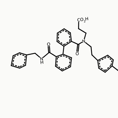 Cc1ccc(CCN(CCC(=O)O)C(=O)c2ccccc2-c2ccccc2C(=O)NCc2ccccc2)cc1